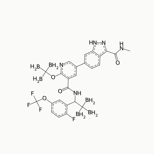 BC(B)(B)Oc1ncc(-c2ccc3c(C(=O)NC)n[nH]c3c2)cc1C(=O)NC(c1cc(OC(F)(F)F)ccc1F)C(B)(B)B